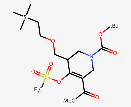 COC(=O)C1=C(OS(=O)(=O)C(F)(F)F)C(COCC[Si](C)(C)C)CN(C(=O)OC(C)(C)C)C1